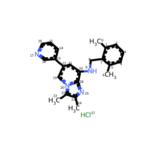 Cc1cccc(C)c1CNc1cc(-c2cccnc2)cn2c(C)c(C)nc12.Cl